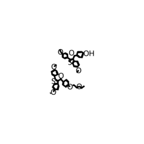 CCOCCOc1ccc(C(=O)c2c(-c3ccc(OC)cc3)sc3cc(OC)ccc23)cc1.COc1ccc(-c2sc3cc(OC)ccc3c2C(=O)c2ccc(O)cc2)cc1